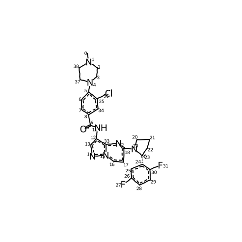 CN1CCN(c2ccc(C(=O)Nc3cnn4ccc(N5CCC[C@@H]5c5cc(F)ccc5F)nc34)cc2Cl)CC1